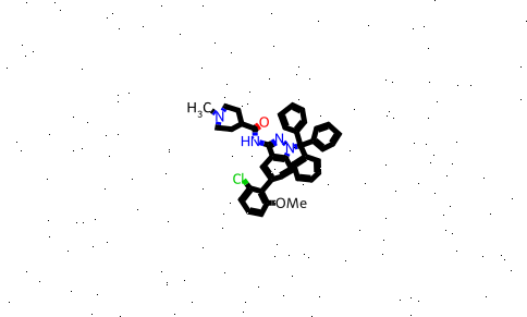 COc1cccc(Cl)c1-c1ccc2c(c1)c(NC(=O)C1CCN(C)CC1)nn2C(c1ccccc1)(c1ccccc1)c1ccccc1